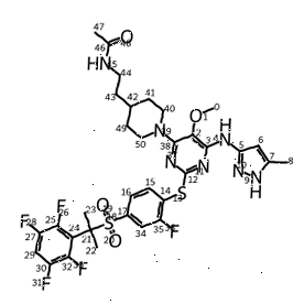 COc1c(Nc2cc(C)[nH]n2)nc(Sc2ccc(S(=O)(=O)C(C)(C)c3c(F)c(F)cc(F)c3F)cc2F)nc1N1CCC(CCNC(C)=O)CC1